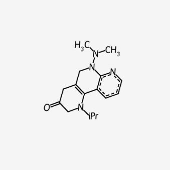 CC(C)N1CC(=O)CC2=C1c1cccnc1N(N(C)C)C2